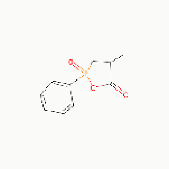 CC1CP(=O)(c2ccccc2)OC1=O